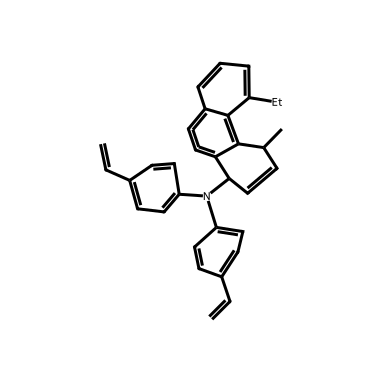 C=Cc1ccc(N(c2ccc(C=C)cc2)C2C=CC(C)C3=c4c(CC)cccc4=C=C=C32)cc1